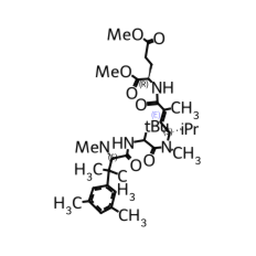 CN[C@H](C(=O)NC(C(=O)N(C)[C@H](/C=C(\C)C(=O)N[C@H](CCC(=O)OC)C(=O)OC)C(C)C)C(C)(C)C)C(C)(C)c1cc(C)cc(C)c1